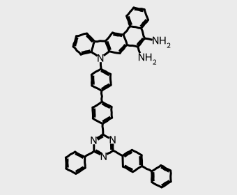 Nc1c(N)c2cc3c(cc2c2ccccc12)c1ccccc1n3-c1ccc(-c2ccc(-c3nc(-c4ccccc4)nc(-c4ccc(-c5ccccc5)cc4)n3)cc2)cc1